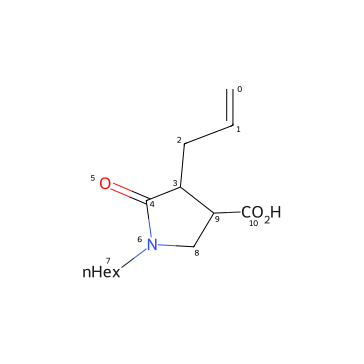 C=CCC1C(=O)N(CCCCCC)CC1C(=O)O